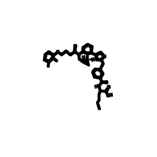 CSCCC(NC(=O)c1cccc(Cn2cc(-c3cccc4c3[C@H]3C[C@H]3CN4C(=O)CCCOc3cccc(C)c3C)cn2)c1)C(=O)O